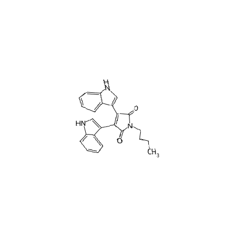 CCCCN1C(=O)C(c2c[nH]c3ccccc23)=C(c2c[nH]c3ccccc23)C1=O